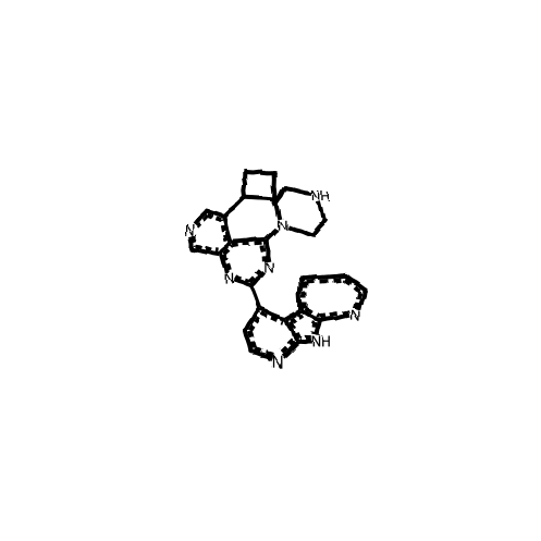 c1cnc2[nH]c3nccc(-c4nc(N5CCNCC5)c5c(C6CCC6)cncc5n4)c3c2c1